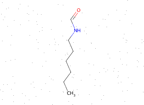 CCCCC[CH]NC=O